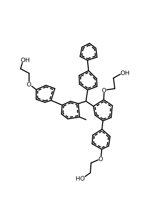 Cc1ccc(-c2ccc(OCCO)cc2)cc1C(c1ccc(-c2ccccc2)cc1)c1cc(-c2ccc(OCCO)cc2)ccc1OCCO